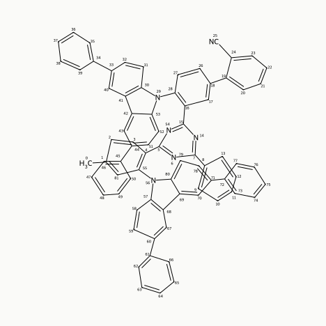 Cc1ccc(-c2nc(-c3ccccc3)nc(-c3cc(-c4ccccc4C#N)ccc3-n3c4ccc(-c5ccccc5)cc4c4cc(-c5ccccc5)ccc43)n2)c(-n2c3ccc(-c4ccccc4)cc3c3cc(-c4ccccc4)ccc32)c1